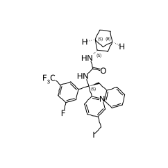 O=C(N[C@H]1C[C@@H]2CC[C@H]1C2)N[C@@](Cc1ccccc1)(c1cc(F)cc(C(F)(F)F)c1)c1ccc(CI)cn1